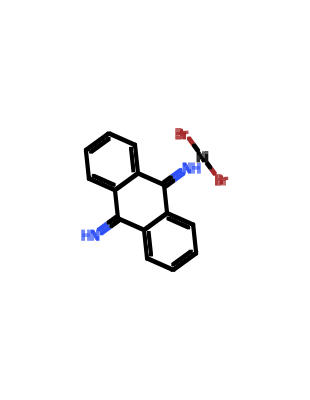 N=C1c2ccccc2C(=N)c2ccccc21.[Br][Ni][Br]